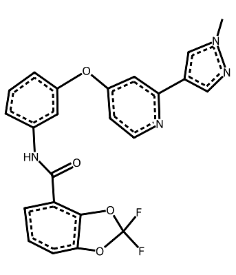 Cn1cc(-c2cc(Oc3cccc(NC(=O)c4cccc5c4OC(F)(F)O5)c3)ccn2)cn1